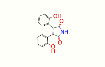 O=C1NC(=O)C(c2ccccc2O)=C1c1ccccc1O